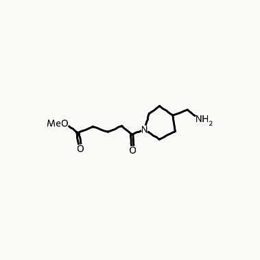 COC(=O)CCCC(=O)N1CCC(CN)CC1